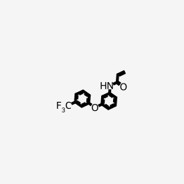 C=CC(=O)Nc1cccc(Oc2cccc(C(F)(F)F)c2)c1